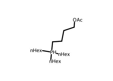 CCCCCC[PH](CCCCCC)(CCCCCC)CCCCOC(C)=O